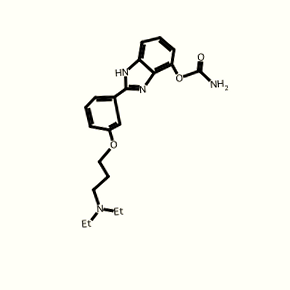 CCN(CC)CCCOc1cccc(-c2nc3c(OC(N)=O)cccc3[nH]2)c1